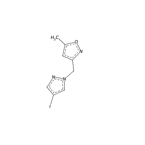 Cc1cc(Cn2cc(I)cn2)no1